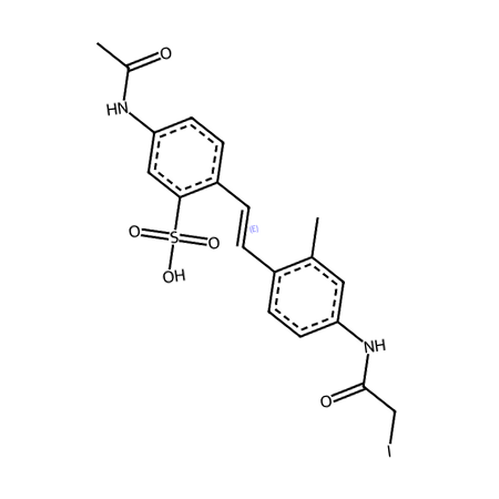 CC(=O)Nc1ccc(/C=C/c2ccc(NC(=O)CI)cc2C)c(S(=O)(=O)O)c1